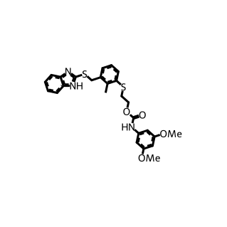 COc1cc(NC(=O)OCCSc2cccc(CSc3nc4ccccc4[nH]3)c2C)cc(OC)c1